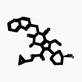 CCn1c(N2CCC[C@@H](N)C2)c(C(=O)NCC2CC2)c2c1c(=O)n(Cc1ccc3ncccc3n1)c(=O)n2C